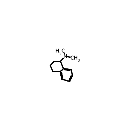 CN(C)C1CCCc2ccccc21